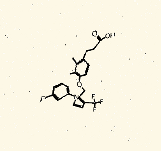 Cc1c(CCC(=O)O)ccc(OCc2c(C(F)(F)F)ccn2-c2cccc(F)c2)c1C